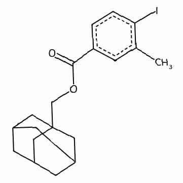 Cc1cc(C(=O)OCC23CC4CC(CC(C4)C2)C3)ccc1I